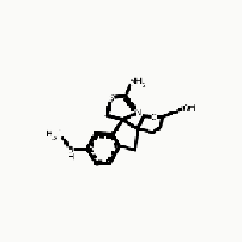 CBc1ccc2c(c1)C1(CSC(N)=N1)C1(CCC(O)CC1)C2